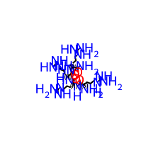 N=C(N)NCCC[C@H](N)C(=O)N[C@H](CCCNC(=N)N)C(=O)N[C@H](CCCNC(=N)N)C(=O)N[C@H](CCCNC(=N)N)C(N)=O